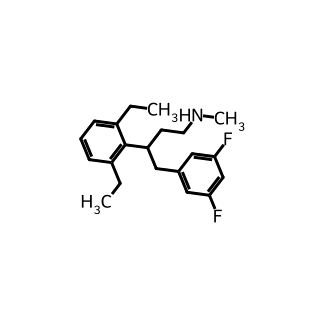 CCc1cccc(CC)c1C(CCNC)Cc1cc(F)cc(F)c1